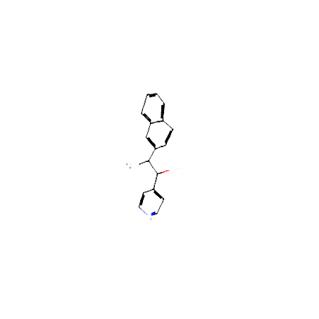 N#CC(c1ccc2ccccc2c1)C(O)c1ccncc1